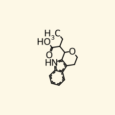 CCC(C(=O)O)C1OCCc2c1[nH]c1ccccc21